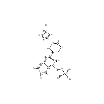 Cc1nc2nc(N3CCO[C@@H](c4cnn(C)c4)C3)nc(CCC(F)(F)F)c2nc1C